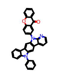 O=c1c2ccccc2oc2ccc(-n3c4cc5c6ccccc6n(-c6ccccc6)c5cc4c4cccnc43)cc12